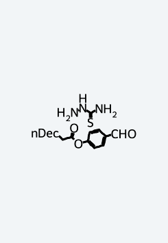 CCCCCCCCCCCC(=O)Oc1ccc(C=O)cc1.NNC(N)=S